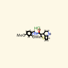 COc1ccc(CNC(=O)C2CSC34C=CC=CC3=NCCC24)c(OC)c1.Cl